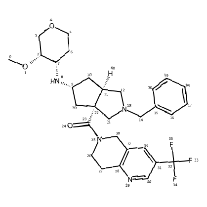 CO[C@@H]1COCC[C@@H]1N[C@@H]1C[C@H]2CN(Cc3ccccc3)C[C@@]2(C(=O)N2CCc3ncc(C(F)(F)F)cc3C2)C1